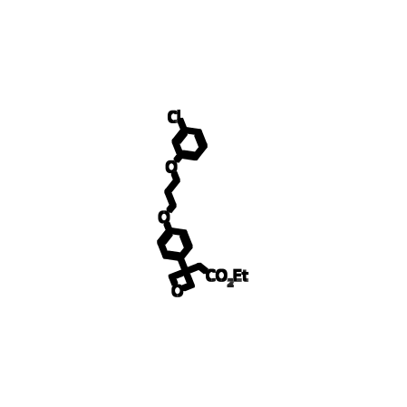 CCOC(=O)CC1(c2ccc(OCCCOc3cccc(Cl)c3)cc2)COC1